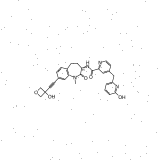 CN1C(=O)[C@H](NC(=O)c2cc(Cc3cccc(O)n3)ccn2)CCc2ccc(C#CC3(O)COC3)cc21